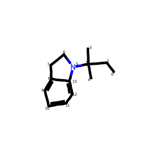 CCC(C)(C)N1CCc2ccccc21